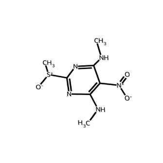 CNc1nc([S+](C)[O-])nc(NC)c1[N+](=O)[O-]